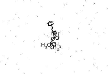 C[N+](C)(C)CCOC(=O)n1ccc(/C=C/c2cccs2)n1.[I-]